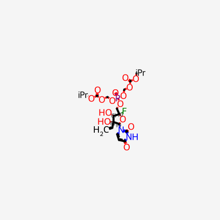 C=C[C@]1(O)[C@H](n2ccc(=O)[nH]c2=O)O[C@](F)(COP(=O)(OCOC(=O)OC(C)C)OCOC(=O)OC(C)C)[C@H]1O